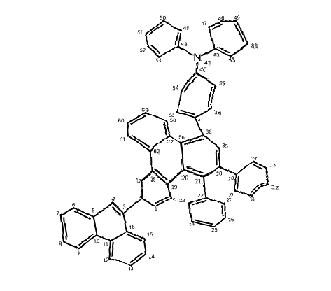 C1=CC(c2cc3ccccc3c3ccccc23)Cc2c1c1c(-c3ccccc3)c(-c3ccccc3)cc(-c3ccc(N(c4ccccc4)c4ccccc4)cc3)c1c1ccccc21